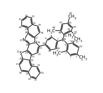 Cc1cc(C)c(B(c2ccc(-c3cc4c(sc5ccc6ccccc6c54)c4nc5c6ccccc6ccc5n34)cc2)c2c(C)cc(C)cc2C)c(C)c1